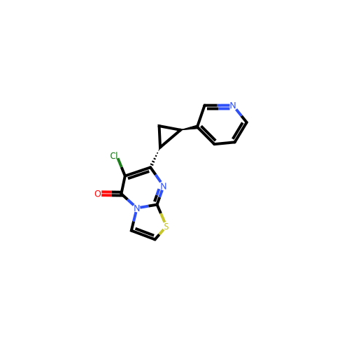 O=c1c(Cl)c([C@@H]2C[C@H]2c2cccnc2)nc2sccn12